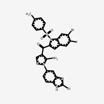 CCc1nc2cc(-n3ncc(C(=O)c4cc5cc(F)c(Br)cc5n4S(=O)(=O)c4ccc(C)cc4)c3N)ccc2[nH]1